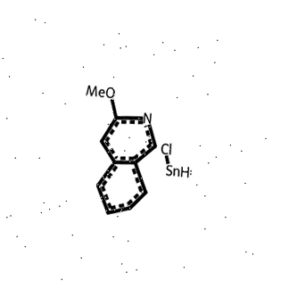 COc1cc2ccccc2cn1.[Cl][SnH]